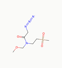 COCN(CCS(C)(=O)=O)C(=O)CN=[N+]=[N-]